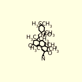 CC1CC(C)(C)CC[C@@]1(CC[C@]1(C)CC(=O)C=C2[C@@]3(C)C=C(C#N)C(=O)C(C)(C)[C@@H]3CC[C@]21C)N=C=O